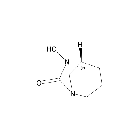 O=C1N2CCC[C@H](C2)N1O